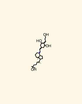 C[C@H](CCCC(C)(C)O)C1CCC2/C(=C/C=C3C[C@@H](O)C(=CCCO)[C@H](O)C3)CCC[C@@]21C